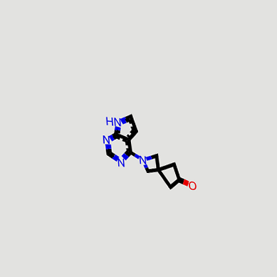 O=C1CC2(C1)CN(c1ncnc3[nH]ccc13)C2